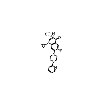 O=C(O)c1cn(C2CC2)c2cc(N3CCN(c4ccccn4)CC3)c(F)cc2c1=O